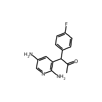 CC(=O)C(c1ccc(F)cc1)c1cc(N)cnc1N